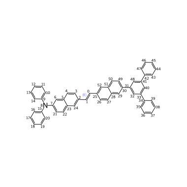 C(=C\c1ccc2cc(N(c3ccccc3)c3ccccc3)ccc2c1)/c1ccc2cc(-c3cc(-c4ccccc4)cc(-c4ccccc4)c3)ccc2c1